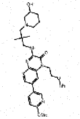 CCCOCCn1c(=O)c(NCC(C)(C)CN2CCCC(O)C2)nc2ncc(-c3ccc(OC)nc3)cc21